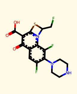 O=C(O)c1c2n(c3c(F)c(N4CCNCC4)c(F)cc3c1=O)C(CF)S2